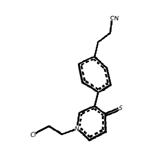 N#CCCc1ccc(-c2cn(CCCl)ccc2=S)cc1